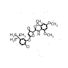 COc1cc(OC)c(NC(=O)C2OC(Oc3cc([Si](C)(C)C)ccc3Cl)=CC2=O)c(OC)c1